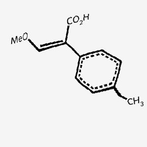 COC=C(C(=O)O)c1ccc(C)cc1